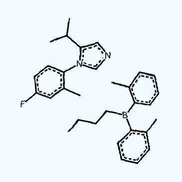 CCCCB(c1ccccc1C)c1ccccc1C.Cc1cc(F)ccc1-n1cncc1C(C)C